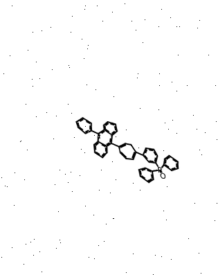 O=P(c1ccccc1)(c1ccccc1)c1cccc(C2=CC=CC(c3c4ccccc4c(-c4ccccc4)c4ccccc34)=CC2)c1